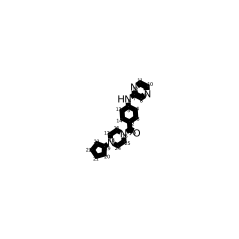 O=C(C1CCC(Nc2cnccn2)CC1)N1CCN(C2CCCC2)CC1